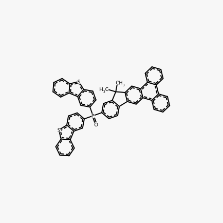 CC1(C)c2cc(P(=O)(c3ccc4sc5ccccc5c4c3)c3ccc4sc5ccccc5c4c3)ccc2-c2cc3c4ccccc4c4ccccc4c3cc21